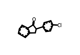 O=C1c2ccccc2CC1c1ccc(Cl)cc1